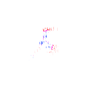 NCCOCCOCCOCCOCc1cn(-c2cc(C(=O)Nc3ccc(CC(NC(=O)NC(CCC(=O)O)C(=O)O)C(=O)O)cc3)cc(C(=O)Nc3ccc(CC(NC(=O)NC(CCC(=O)O)C(=O)O)C(=O)O)cc3)c2)nn1